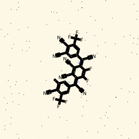 Cc1cc(/C(C#N)=c2/c(F)c(F)/c(=C(\C#N)c3cc(C#N)c(C#N)c(C(F)(F)F)c3)c(C#N)c2C#N)cc(C(F)(F)F)c1C#N